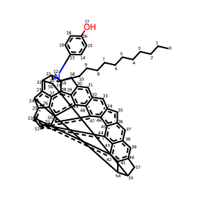 CCCCCCCCCCCC1N(c2ccc(O)cc2)CC2C3=c4c5c6c7c4c4c8c(cc9cc%10cc%11cc%12cc%13c(c%14c%12c%12c%11c%10c%10c9c8c7c%10c%12c%146)C5C(C3)C%13)CC421